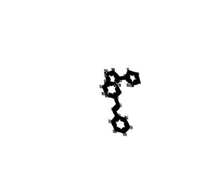 C(=Cc1cn2c(-c3cccs3)cnc2cn1)c1ccccc1